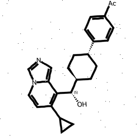 CC(=O)c1ccc([C@H]2CC[C@H]([C@H](O)c3c(C4CC4)ccn4cncc34)CC2)cc1